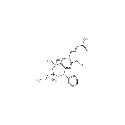 CCCC1(C)CC(c2ccccc2)c2cc(SC)c(O/C=C/C(=O)O)cc2S(O)(O)C1